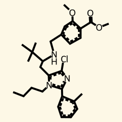 CCCCn1c(-c2ccccc2C)nc(Cl)c1CC(NCc1ccc(C(=O)OC)c(OC)c1)C(C)(C)C